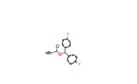 CCCC(Cl)OC(c1ccc(F)cc1)c1ccc(F)cc1